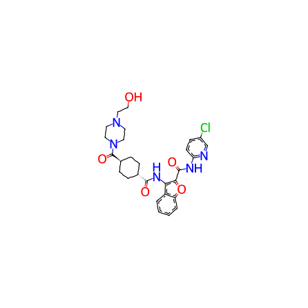 O=C(Nc1ccc(Cl)cn1)c1oc2ccccc2c1NC(=O)[C@H]1CC[C@H](C(=O)N2CCN(CCO)CC2)CC1